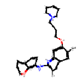 COc1cc2cc(C#N)c(Nc3ccc4cccoc3-4)nc2cc1OCCCN1CC=CCC1